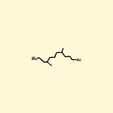 CCC(C)CCC(C)CCCC(C)CCCC(C)=O